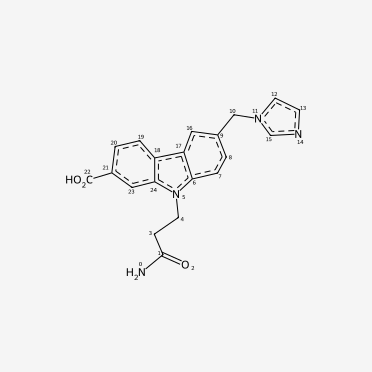 NC(=O)CCn1c2ccc(Cn3ccnc3)cc2c2ccc(C(=O)O)cc21